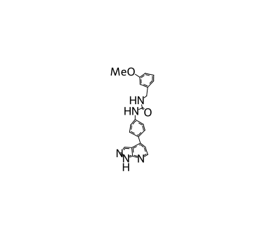 COc1cccc(CNC(=O)Nc2ccc(-c3ccnc4[nH]ncc34)cc2)c1